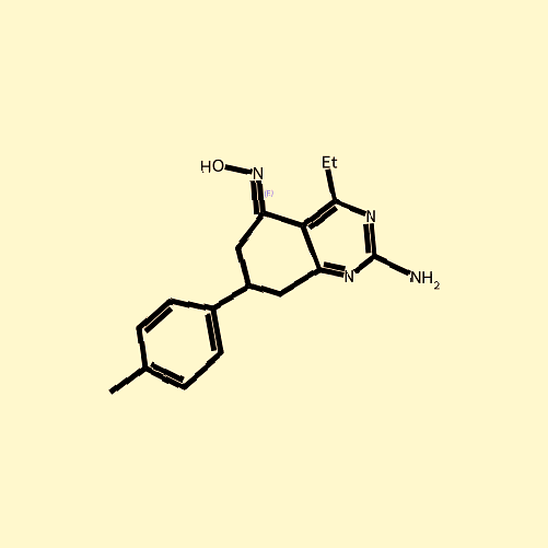 CCc1nc(N)nc2c1/C(=N/O)CC(c1ccc(C)cc1)C2